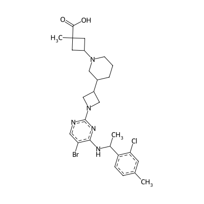 Cc1ccc(C(C)Nc2nc(N3CC(C4CCCN(C5CC(C)(C(=O)O)C5)C4)C3)ncc2Br)c(Cl)c1